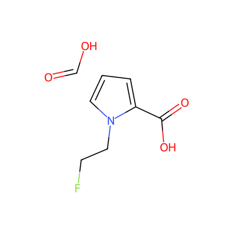 O=C(O)c1cccn1CCF.O=CO